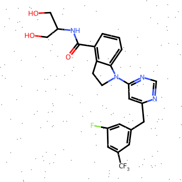 O=C(NC(CO)CO)c1cccc2c1CCN2c1cc(Cc2cc(F)cc(C(F)(F)F)c2)ncn1